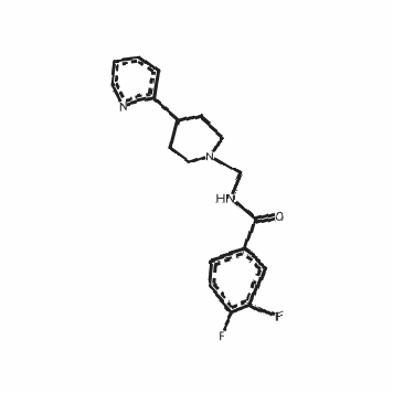 O=C(NCN1CCC(c2ccccn2)CC1)c1ccc(F)c(F)c1